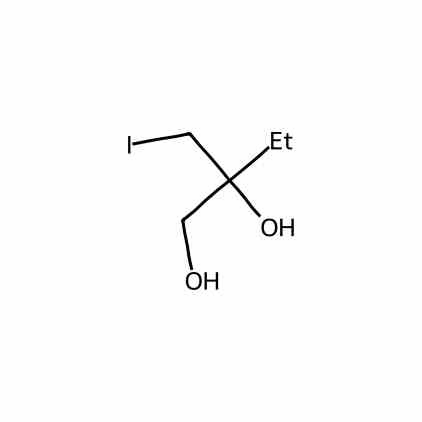 CCC(O)(CO)CI